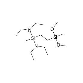 CCN(CC)[Si](C)(CC[Si](C)(OC)OC)N(CC)CC